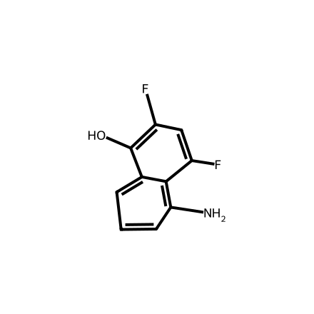 Nc1cccc2c(O)c(F)cc(F)c12